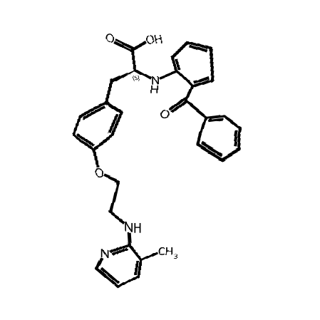 Cc1cccnc1NCCOc1ccc(C[C@H](Nc2ccccc2C(=O)c2ccccc2)C(=O)O)cc1